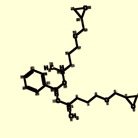 C[SiH](CCCOCC1CO1)O[SiH](O[SiH](C)CCCOCC1CO1)c1ccccc1